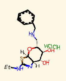 CCNC1=N[C@@H]2[C@@H](O)[C@H](O)[C@@H](CNCc3ccccc3)O[C@@H]2S1.Cl.Cl